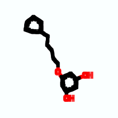 Oc1cc(O)cc(OCCCCCc2ccccc2)c1